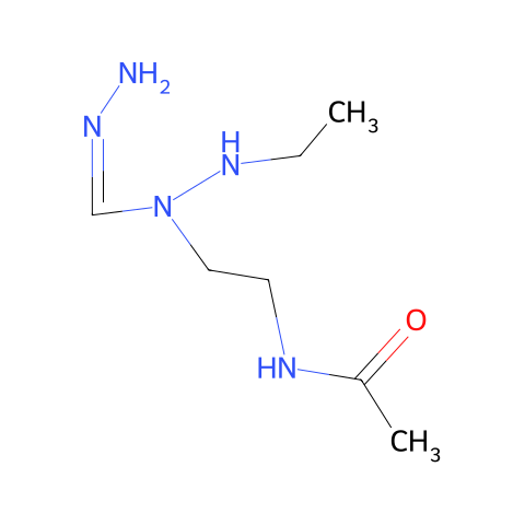 CCNN(/C=N\N)CCNC(C)=O